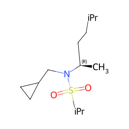 CC(C)CC[C@@H](C)N(CC1CC1)S(=O)(=O)C(C)C